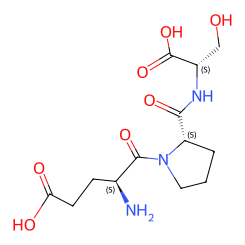 N[C@@H](CCC(=O)O)C(=O)N1CCC[C@H]1C(=O)N[C@@H](CO)C(=O)O